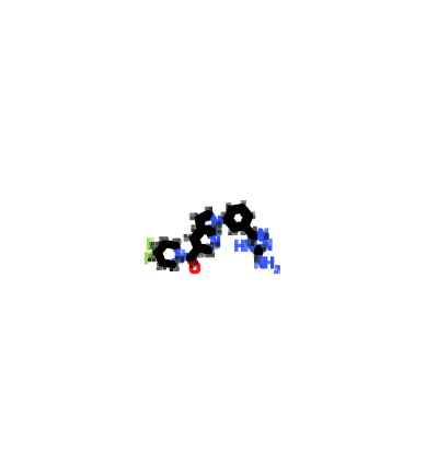 Nc1nnc(-c2cccc(-n3ccc4cc(C(=O)N5CCC(F)(F)CC5)cnc43)c2)[nH]1